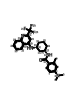 Cc1cc(N(C)C)ccc1C(=O)N[C@@H]1CCC[C@H](Nc2cc(C(F)(F)F)nc3ccccc23)C1